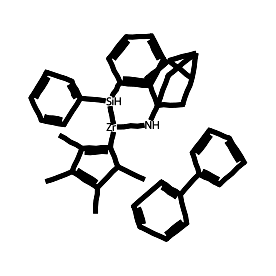 CC1=C(C)C(C)[C]([Zr]([NH]C23CC4C(C2)C4C3)[SiH](c2ccccc2)c2ccccc2)=C1C.c1ccc(-c2ccccc2)cc1